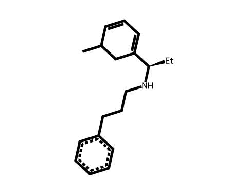 CC[C@@H](NCCCc1ccccc1)C1=CC=CC(C)C1